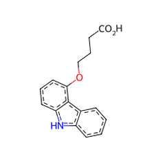 O=C(O)CCCOc1cccc2[nH]c3ccccc3c12